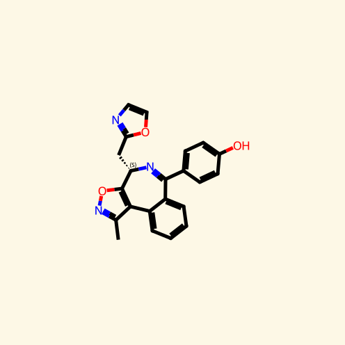 Cc1noc2c1-c1ccccc1C(c1ccc(O)cc1)=N[C@H]2Cc1ncco1